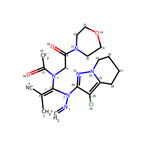 C=NN(/C(=C(\C)C#N)N(CC(=O)N1CCOCC1)C(=O)C(F)(F)F)c1nn2c(c1Cl)CCCC2